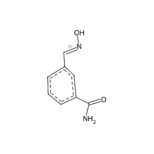 NC(=O)c1cccc(/C=N/O)c1